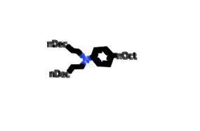 [CH2]CCCCCCCc1ccc(N(CCCCCCCCCCCC)CCCCCCCCCCCC)cc1